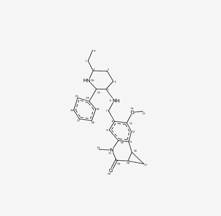 CCC1CCC(NCc2cc3c(cc2OC)C2CC2C(=O)N3C)C(c2ccccc2)N1